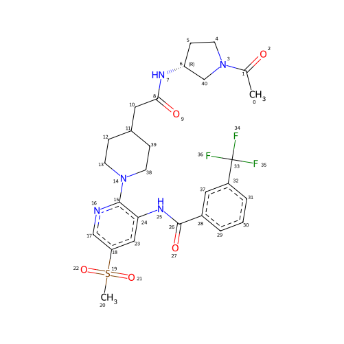 CC(=O)N1CC[C@@H](NC(=O)CC2CCN(c3ncc(S(C)(=O)=O)cc3NC(=O)c3cccc(C(F)(F)F)c3)CC2)C1